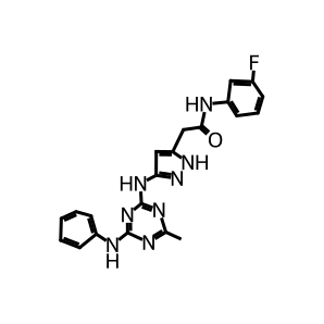 Cc1nc(Nc2ccccc2)nc(Nc2cc(CC(=O)Nc3cccc(F)c3)[nH]n2)n1